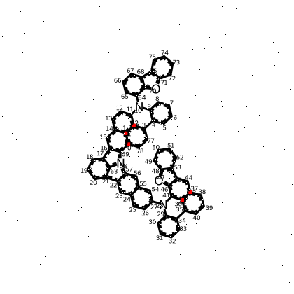 c1ccc(-c2ccccc2N(c2ccc3cc4c5cccc6c7cc8ccc(N(c9ccccc9-c9ccccc9)c9cccc%10c9oc9ccccc9%10)cc8cc7n(c4cc3c2)c56)c2cccc3c2oc2ccccc23)cc1